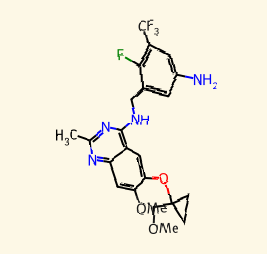 COCC1(Oc2cc3c(NCc4cc(N)cc(C(F)(F)F)c4F)nc(C)nc3cc2OC)CC1